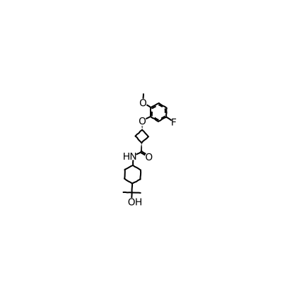 COc1ccc(F)cc1O[C@H]1C[C@H](C(=O)NC2CCC(C(C)(C)O)CC2)C1